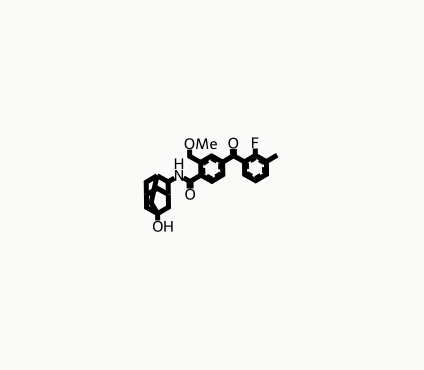 COCc1cc(C(=O)c2cccc(C)c2F)ccc1C(=O)NC1C2CC3CC1CC(O)(C3)C2